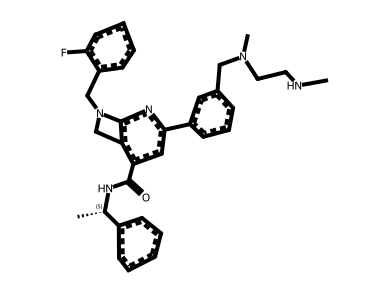 CNCCN(C)Cc1cccc(-c2cc(C(=O)N[C@@H](C)c3ccccc3)c3c(n2)N(Cc2ccccc2F)C3)c1